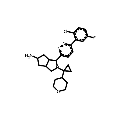 NC1CC2CN(C3(C4CCOCC4)CC3)C(c3ccc(-c4cc(F)ccc4Cl)nn3)C2C1